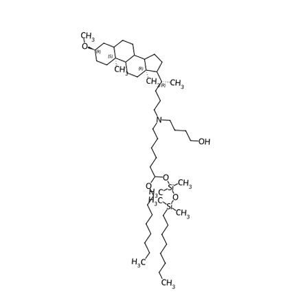 CCCCCCCCOC(CCCCCN(CCCCO)CCC[C@@H](C)C1CCC2C3CCC4C[C@H](OC)CC[C@]4(C)C3CC[C@@]21C)O[Si](C)(C)O[Si](C)(C)CCCCCCCC